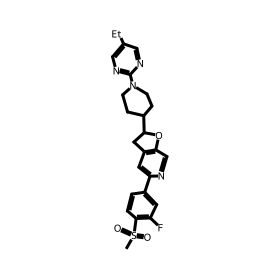 CCc1cnc(N2CCC(C3Cc4cc(-c5ccc(S(C)(=O)=O)c(F)c5)ncc4O3)CC2)nc1